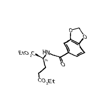 CCOC(=O)CC[C@H](NC(=O)c1ccc2c(c1)OCO2)C(=O)OCC